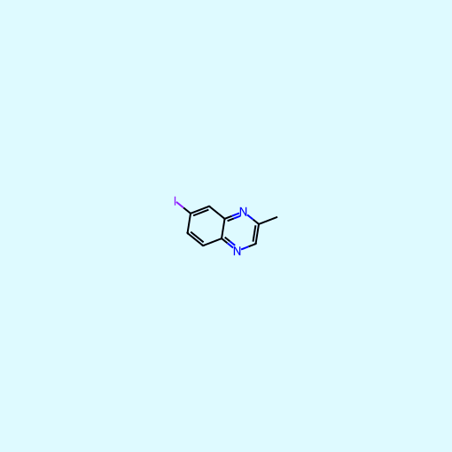 Cc1cnc2ccc(I)cc2n1